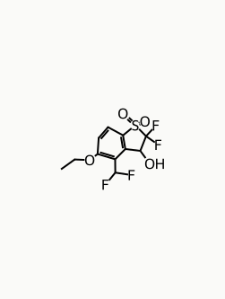 CCOc1ccc2c(c1C(F)F)C(O)C(F)(F)S2(=O)=O